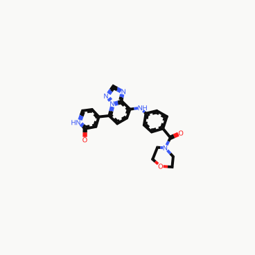 O=C(c1ccc(Nc2ccc(-c3cc[nH]c(=O)c3)n3ncnc23)cc1)N1CCOCC1